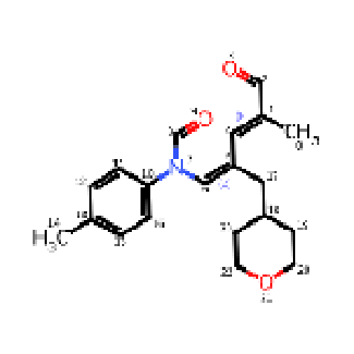 C/C(C=O)=C\C(=C/N(C=O)c1ccc(C)cc1)CC1CCOCC1